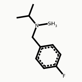 CC(C)N([SiH3])Cc1ccc(F)cc1